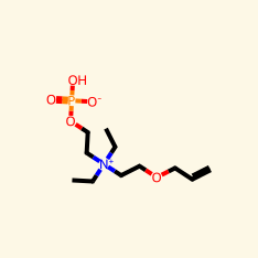 C=CCOCC[N+](CC)(CC)CCOP(=O)([O-])O